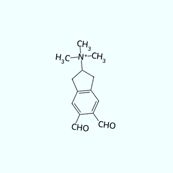 C[N+](C)(C)C1Cc2cc(C=O)c(C=O)cc2C1